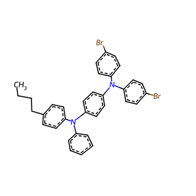 CCCCc1ccc(N(c2ccccc2)c2ccc(N(c3ccc(Br)cc3)c3ccc(Br)cc3)cc2)cc1